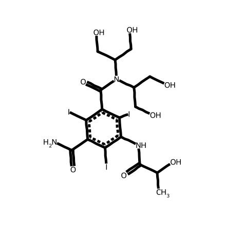 CC(O)C(=O)Nc1c(I)c(C(N)=O)c(I)c(C(=O)N(C(CO)CO)C(CO)CO)c1I